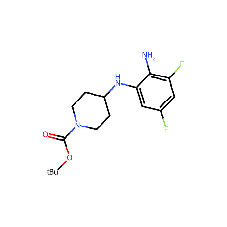 CC(C)(C)OC(=O)N1CCC(Nc2cc(F)cc(F)c2N)CC1